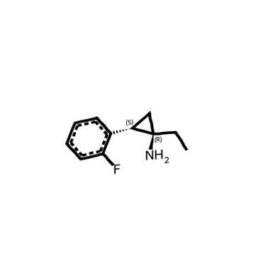 CC[C@@]1(N)C[C@H]1c1ccccc1F